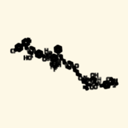 CC(C)[C@@H](C(=O)N1C[C@H](O)C[C@H]1C(=O)NCc1ccc2c(c1)OCc1ncsc1-2)c1cc(OCCCCC(=O)N2CCN(CC[C@H](CSc3ccccc3)Nc3ccc(S(=O)(=O)NC(=O)c4ccc(N5CCN(CC6=C(c7ccc(Cl)cc7)CCC(C)(C)C6)C[C@H]5CO)cc4)cc3S(=O)(=O)C(F)(F)F)CC2)no1